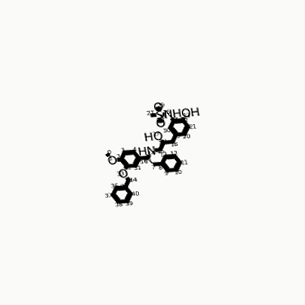 COc1ccc([C@@H](Cc2ccccc2)NC[C@@H](O)Cc2ccc(O)c(NS(C)(=O)=O)c2)cc1OCc1ccccc1